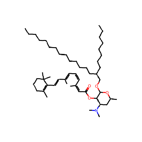 CCCCCCCCCCCCCCC(CCCCCCCC)COC1OC(C)CC(N(C)C)C1OC(=O)C=C(C)C=CC=C(C)C=CC1=C(C)CCCC1(C)C